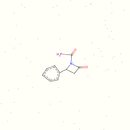 O=C(P)N1C(=O)CC1c1ccccc1